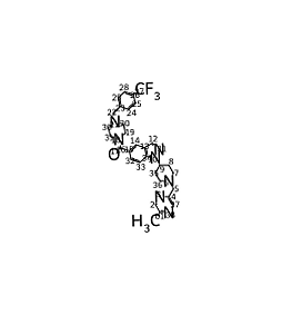 Cc1cnc(CN2CCC(n3ncc4cc(C(=O)N5CCN(Cc6ccc(C(F)(F)F)cc6)CC5)ccc43)CC2)cn1